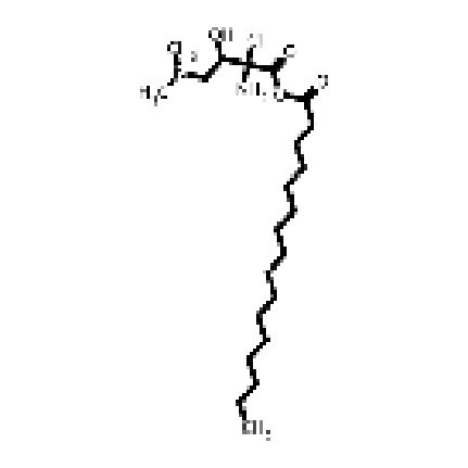 CCCCCCCCCCCCCCCC(=O)OC(=O)C(N)(Cl)C(O)CN(C)C